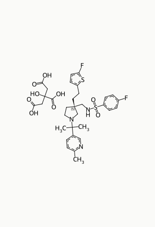 Cc1ccc(C(C)(C)N2CC[C@](CCc3ccc(F)s3)(CNS(=O)(=O)c3ccc(F)cc3)C2)cn1.O=C(O)CC(O)(CC(=O)O)C(=O)O